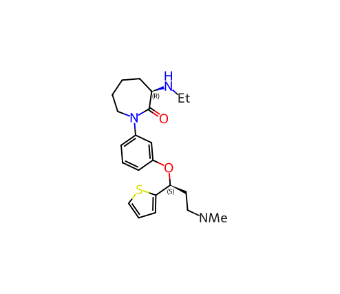 CCN[C@@H]1CCCCN(c2cccc(O[C@@H](CCNC)c3cccs3)c2)C1=O